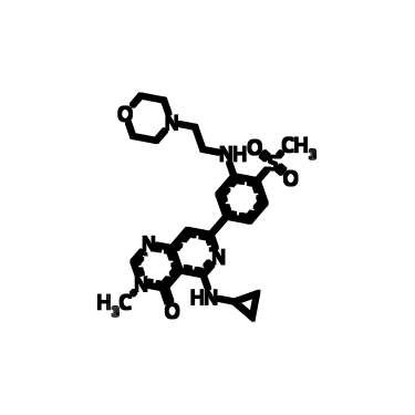 Cn1cnc2cc(-c3ccc(S(C)(=O)=O)c(NCCN4CCOCC4)c3)nc(NC3CC3)c2c1=O